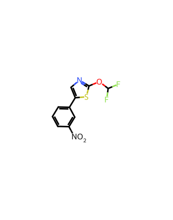 O=[N+]([O-])c1cccc(-c2cnc(OC(F)F)s2)c1